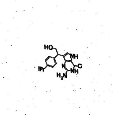 CC(C)c1ccc(C(CO)c2c[nH]c3c(=O)[nH]c(N)nc23)cc1